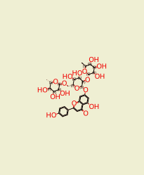 C[C@@H]1O[C@@H](OC[C@H]2O[C@@H](Oc3cc(O)c4c(=O)cc(-c5ccc(O)cc5)oc4c3)[C@H](O[C@@H]3O[C@@H](C)[C@H](O)[C@@H](O)[C@H]3O)[C@@H](O)[C@@H]2O)[C@H](O)[C@H](O)[C@H]1O